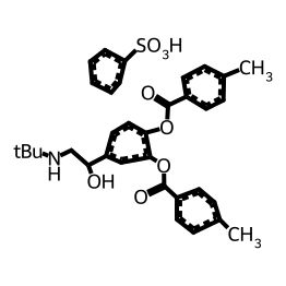 Cc1ccc(C(=O)Oc2ccc(C(O)CNC(C)(C)C)cc2OC(=O)c2ccc(C)cc2)cc1.O=S(=O)(O)c1ccccc1